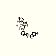 Cn1c(CNc2cccc(C(=O)N[C@@H]3COc4cc(F)ccc43)c2)nnc1C1CCNCN1